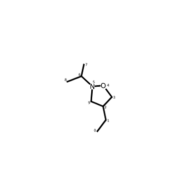 CCC1CON(C(C)C)C1